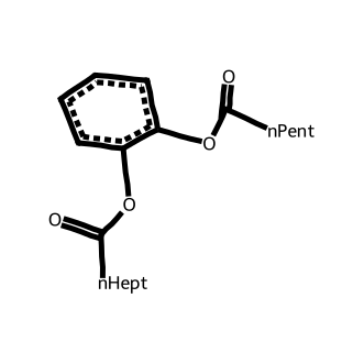 CCCCCCCC(=O)Oc1ccccc1OC(=O)CCCCC